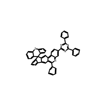 c1ccc(-c2nc(-c3ccccc3)nc(-c3ccc4c(c3)nc(-c3ccccc3)c3cc5c(cc34)C3(c4ccccc4Sc4ccccc43)c3ccccc3-5)n2)cc1